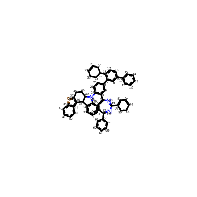 CC1C=C(c2cc(-c3cc(-c4ccccc4)ccc3C3CC=CCC3)ccc2N2c3ccccc3C3c4c(sc5ccccc45)CCC32)N=C(C2=CC=CCC2)N=C1c1ccccc1